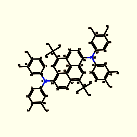 Cc1ccc(N(c2ccc(C)c(C)c2)c2ccc3c(C(C)(C)C)cc4c(N(c5ccc(C)c(C)c5)c5ccc(C)c(C)c5)ccc5c(C(C)(C)C)cc2c3c45)cc1C